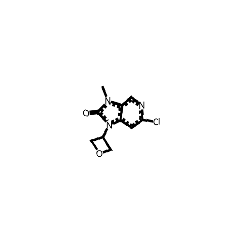 Cn1c(=O)n(C2COC2)c2cc(Cl)ncc21